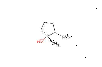 CNC1CCC[C@@]1(C)O